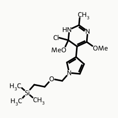 COC1=C(c2ccn(COCC[Si](C)(C)C)c2)C(Cl)(OC)NC(C)=N1